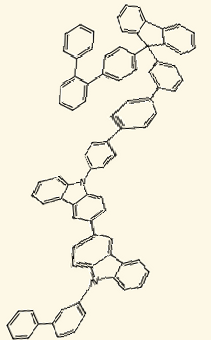 c1ccc(-c2cccc(-n3c4ccccc4c4cc(-c5ccc6c(c5)c5ccccc5n6-c5ccc(-c6ccc(-c7cccc(C8(c9ccc(-c%10ccccc%10-c%10ccccc%10)cc9)c9ccccc9-c9ccccc98)c7)cc6)cc5)ccc43)c2)cc1